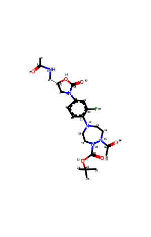 CC(=O)NC[C@H]1CN(c2ccc(N3CCN(C(C)=O)N(C(=O)OC(C)(C)C)CC3)c(F)c2)C(=O)O1